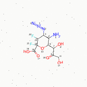 [N-]=[N+]=NC1C(N)C(C(O)C(=O)CO)OC(F)(C(=O)O)C1F